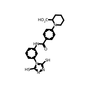 O=C(Nc1cccc(-n2c(S)nnc2S)c1)c1ccc(N2CCCCC2C(=O)O)cc1